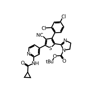 CC(C)(C)OC(=O)N1CCN=C1c1sc(-c2ccnc(NC(=O)C3CC3)c2)c(C#N)c1-c1ccc(Cl)cc1Cl